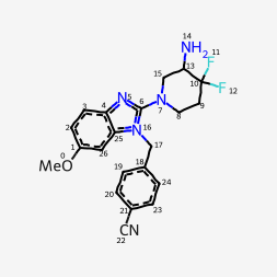 COc1ccc2nc(N3CCC(F)(F)C(N)C3)n(Cc3ccc(C#N)cc3)c2c1